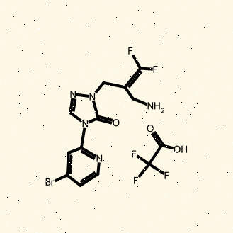 NCC(Cn1ncn(-c2cc(Br)ccn2)c1=O)=C(F)F.O=C(O)C(F)(F)F